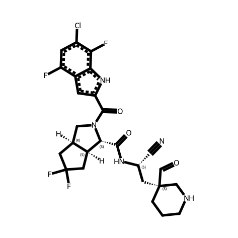 N#C[C@H](C[C@@]1(C=O)CCCNC1)NC(=O)[C@@H]1[C@H]2CC(F)(F)C[C@H]2CN1C(=O)c1cc2c(F)cc(Cl)c(F)c2[nH]1